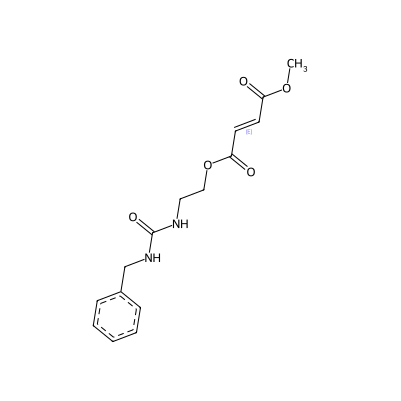 COC(=O)/C=C/C(=O)OCCNC(=O)NCc1ccccc1